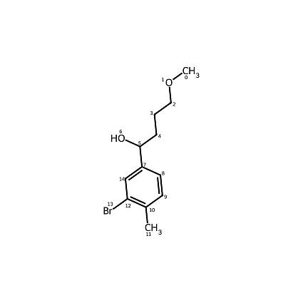 COCCCC(O)c1ccc(C)c(Br)c1